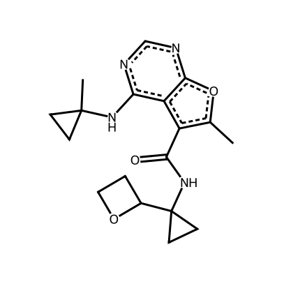 Cc1oc2ncnc(NC3(C)CC3)c2c1C(=O)NC1(C2CCO2)CC1